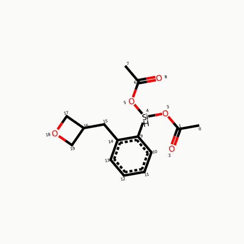 CC(=O)O[SiH](OC(C)=O)c1ccccc1CC1COC1